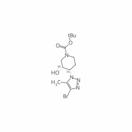 Cc1c(Br)nnn1[C@H]1CCN(C(=O)OC(C)(C)C)C[C@H]1O